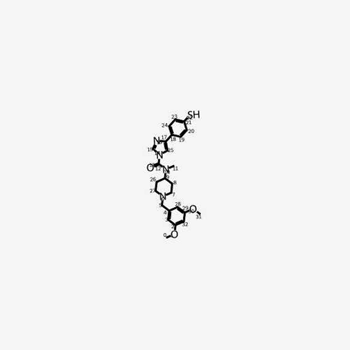 COc1cc(CN2CCC(N(C)C(=O)n3cnc(-c4ccc(S)cc4)c3)CC2)cc(OC)c1